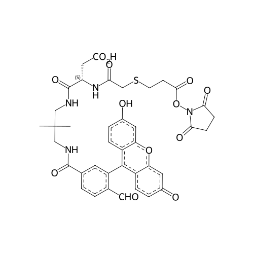 CC(C)(CNC(=O)c1ccc(C=O)c(-c2c3ccc(=O)cc-3oc3cc(O)ccc23)c1)CNC(=O)[C@H](CC(=O)O)NC(=O)CSCCC(=O)ON1C(=O)CCC1=O